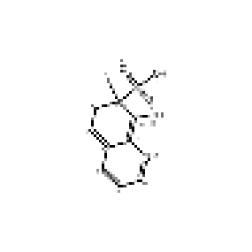 O=S(=O)(O)C1(I)CC=c2cccnc2=C1O